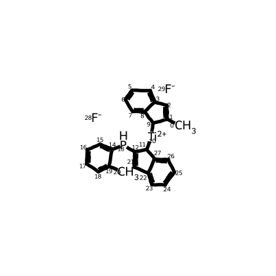 CC1=Cc2ccccc2[CH]1[Ti+2][CH]1C(Pc2ccccc2C)=Cc2ccccc21.[F-].[F-]